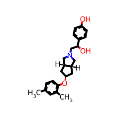 Cc1ccc(O[C@H]2C[C@@H]3CN(CC(O)c4ccc(O)cc4)C[C@@H]3C2)c(C)c1